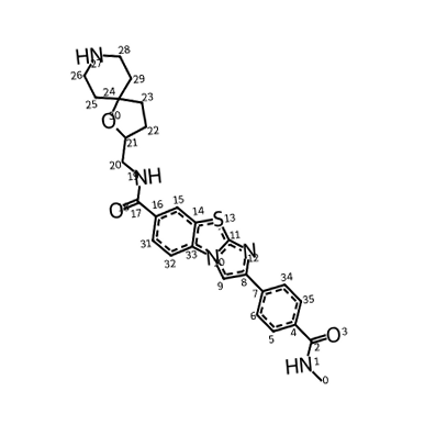 CNC(=O)c1ccc(-c2cn3c(n2)sc2cc(C(=O)NCC4CCC5(CCNCC5)O4)ccc23)cc1